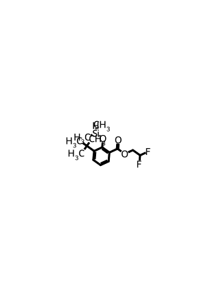 C[SiH](C)Oc1c(C(=O)OCC(F)F)cccc1C(C)(C)C